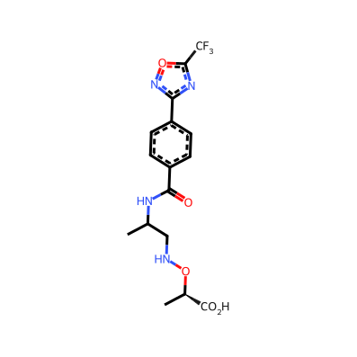 CC(CNO[C@H](C)C(=O)O)NC(=O)c1ccc(-c2noc(C(F)(F)F)n2)cc1